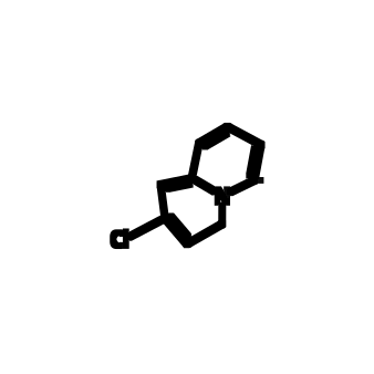 ClC1=CCN2[C]=CC=CC2=C1